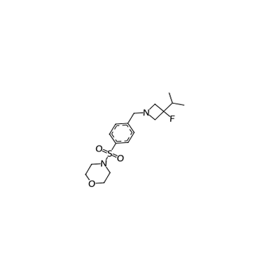 CC(C)C1(F)CN(Cc2ccc(S(=O)(=O)N3CCOCC3)cc2)C1